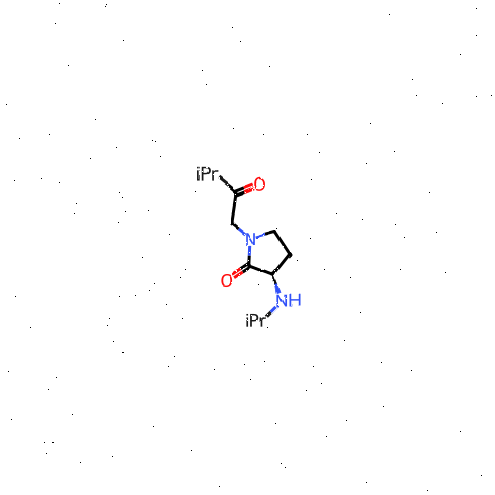 CC(C)N[C@@H]1CCN(CC(=O)C(C)C)C1=O